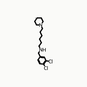 Clc1ccc(CNCCCCCCN2CC[CH]CC2)cc1Cl